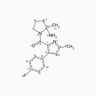 Cc1nc(C(=O)N2CCSC2(C)N)c(-c2ccc(F)cc2)s1